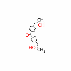 CC(O)Cc1ccc(C(=O)c2ccc(CC(C)O)cc2)cc1